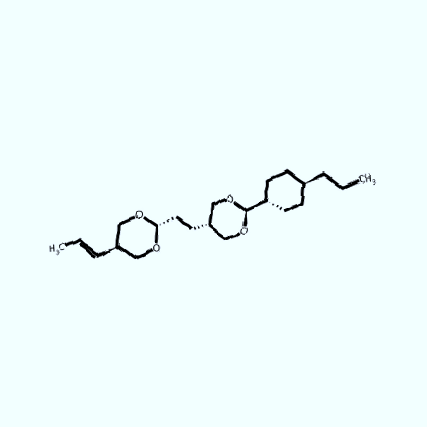 CC=C[C@H]1CO[C@H](CC[C@H]2CO[C@H]([C@H]3CC[C@H](CCC)CC3)OC2)OC1